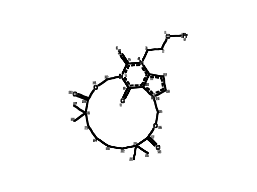 CC(C)OCCn1c(=S)n2c(=O)c3c1ccn3COC(=O)C(C)(C)CCCCC(C)(C)C(=O)OC2